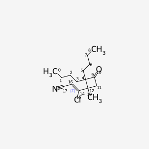 CCCCC1(CCCC)C(=O)CC1(C)/C(Cl)=C/C#N